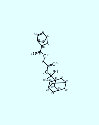 CCC(CC)(OC(=O)COC(=O)C1CC2C=CC1C2)C12CC3CC(CC(C3)C1)C2